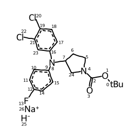 CC(C)(C)OC(=O)N1CCC(N(c2ccc(F)cc2)c2ccc(Cl)c(Cl)c2)C1.[H-].[Na+]